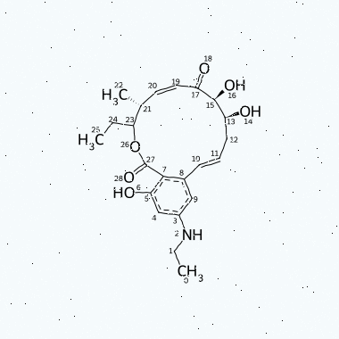 CCNc1cc(O)c2c(c1)/C=C/C[C@H](O)[C@H](O)C(=O)/C=C\[C@@H](C)C(CC)OC2=O